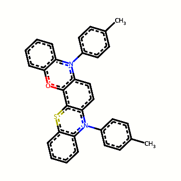 Cc1ccc(-n2c3ccccc3oc3c4sc5ccccc5n(-c5ccc(C)cc5)c4ccc32)cc1